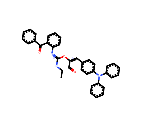 CCN/C(=N/c1ccccc1C(=O)c1ccccc1)O/C(C=O)=C/c1ccc(N(c2ccccc2)c2ccccc2)cc1